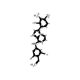 C=Cc1c(F)cc(Nc2nccn3c(-c4ccc(CC)c(C)c4F)cnc23)cc1F